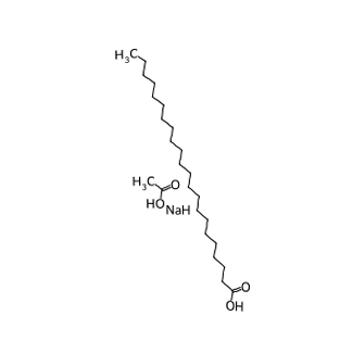 CC(=O)O.CCCCCCCCCCCCCCCCCCCCCC(=O)O.[NaH]